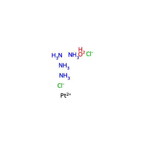 N.N.N.N.O.[Cl-].[Cl-].[Pt+2]